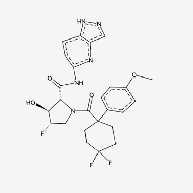 COc1ccc(C2(C(=O)N3C[C@H](F)[C@@H](O)[C@@H]3C(=O)Nc3ccc4[nH]ncc4n3)CCC(F)(F)CC2)cc1